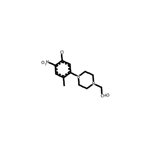 Cc1cc([N+](=O)[O-])c(Cl)cc1N1CCN(CC=O)CC1